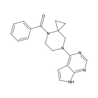 O=C(c1ccccc1)N1CCN(c2ncnc3[nH]ccc23)CC12CC2